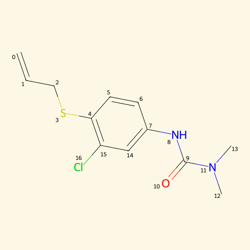 C=CCSc1ccc(NC(=O)N(C)C)cc1Cl